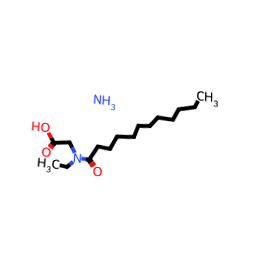 CCCCCCCCCCCC(=O)N(CC)CC(=O)O.N